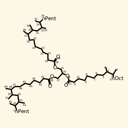 CCCCCCCCC(C)C(C)CCCCCCCC(=O)OC(COC(=O)CCCCCCCC(C)C(C)CC(C)C(C)CCCCC)COC(=O)CCCCCCCC(C)C(C)CC(C)C(C)CCCCC